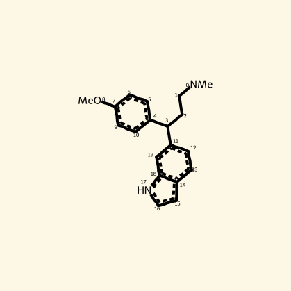 CNCCC(c1ccc(OC)cc1)c1ccc2cc[nH]c2c1